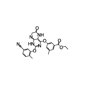 CCOC(=O)c1cc(C)cc(OC2=C3NC(=O)CN=C3NC(Oc3cc(C#N)ccc3C)=N2)c1